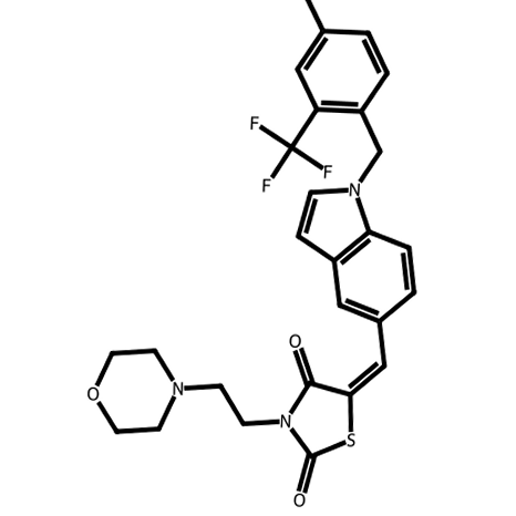 O=C1SC(=Cc2ccc3c(ccn3Cc3ccc(F)cc3C(F)(F)F)c2)C(=O)N1CCN1CCOCC1